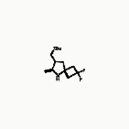 C=C1NC2(CC1CC(C)(C)C)CC(F)(F)C2